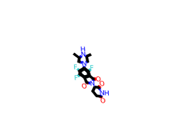 CC1CN(c2c(F)c(F)c3c(c2F)C(=O)N(C2CCC(=O)NC2=O)C3=O)CC(C)N1